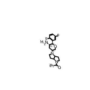 CC(C)C(=O)N1CCC2C1CCN2[C@H]1CO[C@H](c2cc(F)ccc2F)[C@@H](N)C1